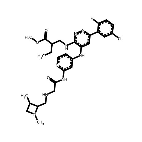 CCC(CNc1nnc(-c2cc(Cl)ccc2F)cc1Nc1ccnc(NC(=O)CNCC2C(C)CN2C)c1)C(=O)OC